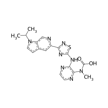 CC(C)n1ccc2cc(-c3nsc(Nc4nccnc4N(C)C(=O)O)n3)ncc21